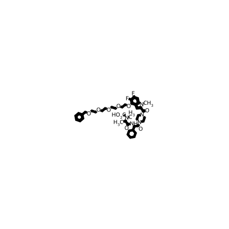 CC(C(=O)NC(C(=O)N1CCN(C(=O)c2cc3c(OCCOCCOCCOCCOCc4ccccc4)c(F)c(F)cc3n2C)CC1)C1CCCCC1)N(C)C(=O)O